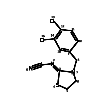 N#CN=C1SCCN1Cc1ccc(Cl)c(Cl)c1